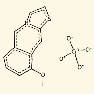 COc1cccc2c[n+]3ccsc3cc12.[O-][Cl+3]([O-])([O-])[O-]